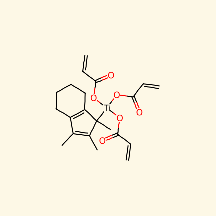 C=CC(=O)[O][Ti]([O]C(=O)C=C)([O]C(=O)C=C)[C]1(C)C(C)=C(C)C2=C1CCCC2